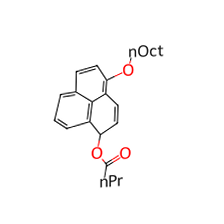 CCCCCCCCOc1ccc2cccc3c2c1C=CC3OC(=O)CCC